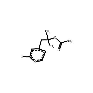 CC(C)(Cc1ccnc(Cl)c1)OC(N)=O